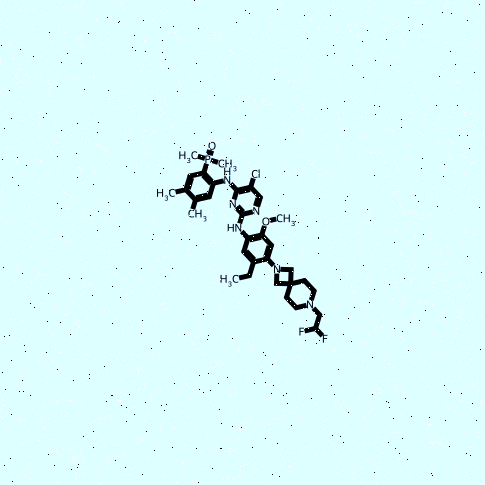 CCc1cc(Nc2ncc(Cl)c(Nc3cc(C)c(C)cc3P(C)(C)=O)n2)c(OC)cc1N1CC2(CCN(CC(F)F)CC2)C1